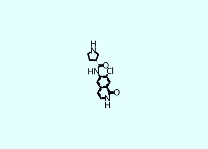 O=C(Nc1cc2cc[nH]c(=O)c2cc1Cl)[C@@H]1CCNC1